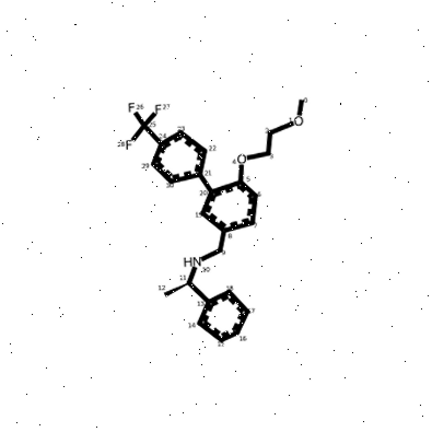 COCCOc1ccc(CN[C@H](C)c2ccccc2)cc1-c1ccc(C(F)(F)F)cc1